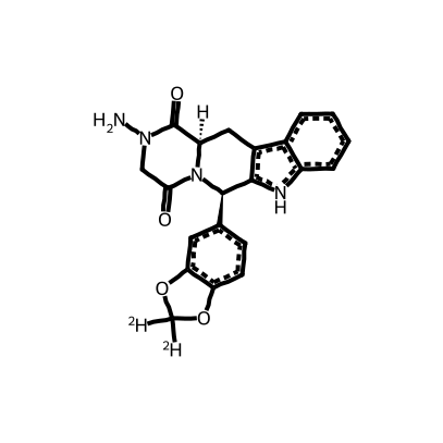 [2H]C1([2H])Oc2ccc([C@@H]3c4[nH]c5ccccc5c4C[C@@H]4C(=O)N(N)CC(=O)N34)cc2O1